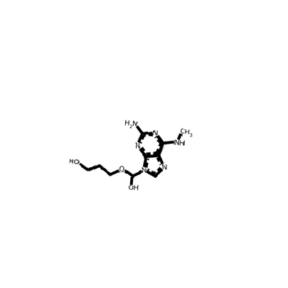 CNc1nc(N)nc2c1ncn2C(O)OCCCO